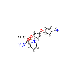 CCS(=O)(=O)[N+]1(c2ccc(Oc3ccc(C#N)cc3)cc2)CC=CC=C1CN